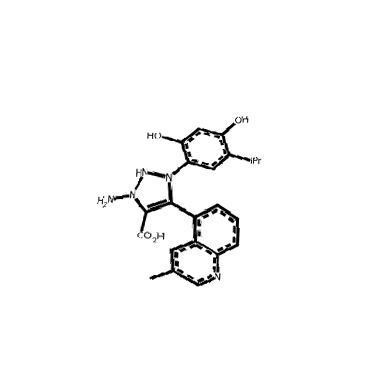 Cc1cnc2cccc(C3=C(C(=O)O)N(N)NN3c3cc(C(C)C)c(O)cc3O)c2c1